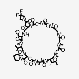 CC[C@H](C)C1NC(=O)C(C)N(C)C(=O)CC(C(=O)N2CCCCC2)N(C)C(=O)C(C(C)C)N(C)C(=O)C(COC)NC(=O)C(CC(=O)N2CC(F)(F)C2)N(C)C(=O)CNC(=O)CN(C)C(=O)CN(C)C(=O)CN(C)C(=O)CN(C)C1=O